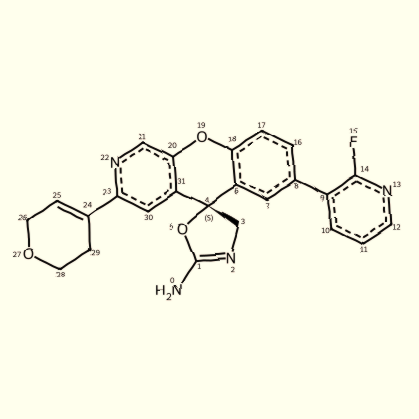 NC1=NC[C@]2(O1)c1cc(-c3cccnc3F)ccc1Oc1cnc(C3=CCOCC3)cc12